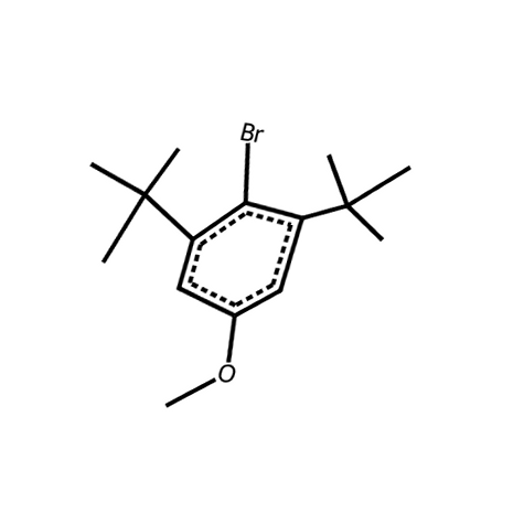 COc1cc(C(C)(C)C)c(Br)c(C(C)(C)C)c1